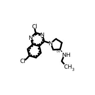 CCN[C@H]1CCN(c2nc(Cl)nc3cc(Cl)ccc23)C1